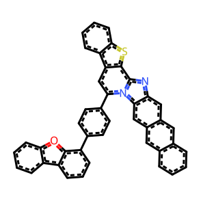 c1ccc2cc3cc4c(cc3cc2c1)nc1c2sc3ccccc3c2cc(-c2ccc(-c3cccc5c3oc3ccccc35)cc2)n41